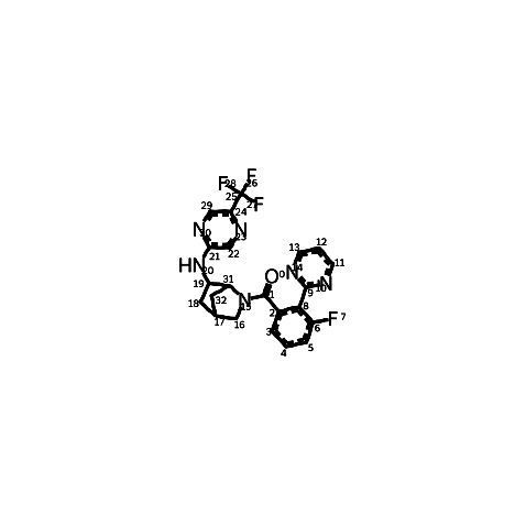 O=C(c1cccc(F)c1-c1ncccn1)N1CC2CC(Nc3cnc(C(F)(F)F)cn3)C1C2